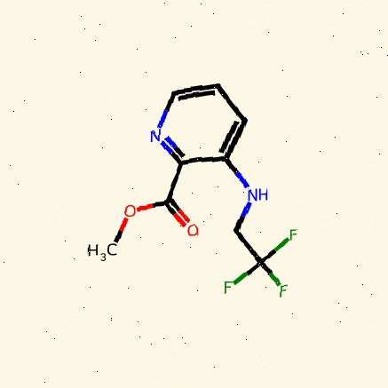 COC(=O)c1ncccc1NCC(F)(F)F